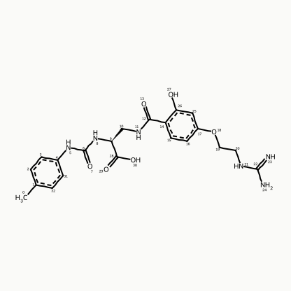 Cc1ccc(NC(=O)N[C@@H](CNC(=O)c2ccc(OCCNC(=N)N)cc2O)C(=O)O)cc1